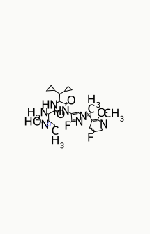 CC/C(=N/O)C(N)C(=O)NC(C(=O)Nc1cn([C@@H](C)c2cc(F)cnc2OC)nc1F)C(C1CC1)C1CC1